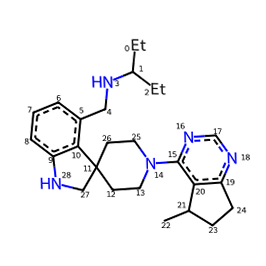 CCC(CC)NCc1cccc2c1C1(CCN(c3ncnc4c3C(C)CC4)CC1)CN2